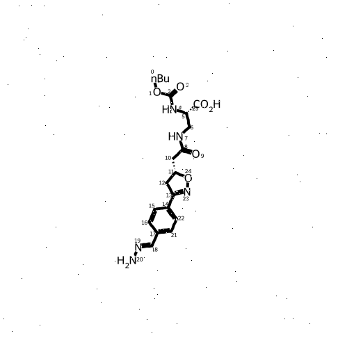 CCCCOC(=O)N[C@@H](CNC(=O)C[C@H]1CC(c2ccc(C=NN)cc2)=NO1)C(=O)O